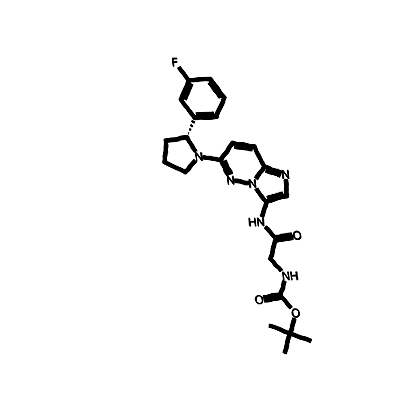 CC(C)(C)OC(=O)NCC(=O)Nc1cnc2ccc(N3CCC[C@@H]3c3cccc(F)c3)nn12